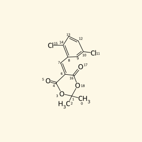 CC1(C)OC(=O)C(=Cc2cc(Cl)ccc2Cl)C(=O)O1